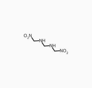 O=[N+]([O-])CNCNC[N+](=O)[O-]